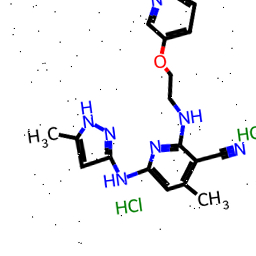 Cc1cc(Nc2cc(C)c(C#N)c(NCCOc3cccnc3)n2)n[nH]1.Cl.Cl